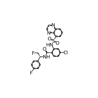 O=C(N[C@H](CF)c1ccc(F)cc1)c1ccc(Cl)cc1NS(=O)(=O)c1cccc2nccnc12